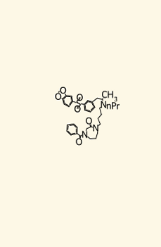 CCCN(CCCCN1CCCN(C(=O)c2ccccc2)CC1=O)C(C)Cc1cccc(S(=O)(=O)c2ccc3c(c2)OCO3)c1